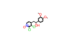 COc1ccc(C(O)Cc2cc[n+]([O-])c(Cl)c2Cl)cc1OC